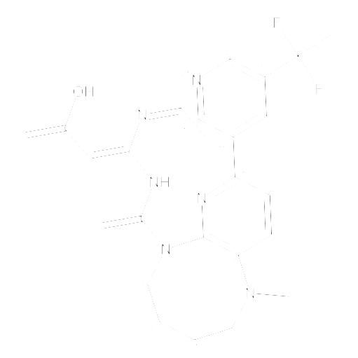 C=C(O)/C=C(\N=C/C)NC(=C)N1CCCCN(C)c2ccc(-c3cncc(C(C)(F)F)c3)nc21